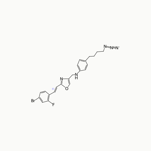 [N-]=[N+]=NCCCCc1ccc(NCc2coc(/C=C/c3ccc(Br)cc3F)n2)cc1